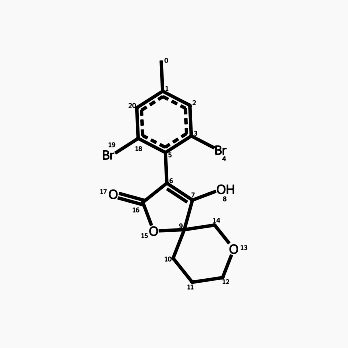 Cc1cc(Br)c(C2=C(O)C3(CCCOC3)OC2=O)c(Br)c1